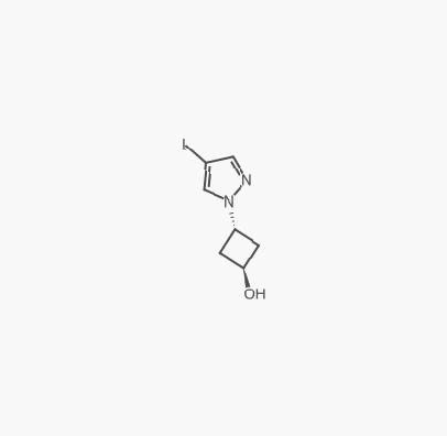 O[C@H]1C[C@H](n2cc(I)cn2)C1